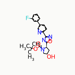 CC(C)(C)OC(=O)N1C[C@H](O)C[C@@H]1c1nc(-c2ccc(-c3cccc(F)c3)cn2)no1